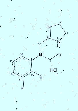 CCN(CC1=NCCN1)c1cccc(C)c1C.Cl